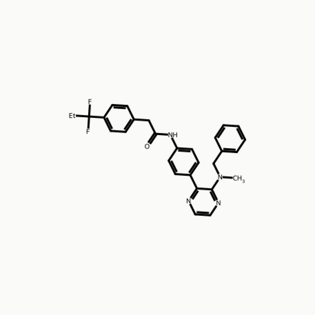 CCC(F)(F)c1ccc(CC(=O)Nc2ccc(-c3nccnc3N(C)Cc3ccccc3)cc2)cc1